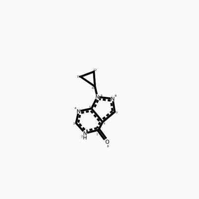 O=c1[nH]cnc2c1cnn2C1CC1